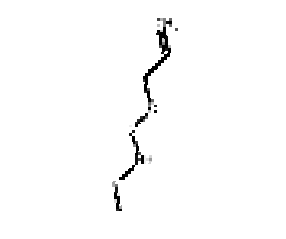 C=CCOSNSF